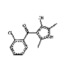 Cc1[nH]c(C)c(C(=O)c2ccccc2Cl)c1C#N